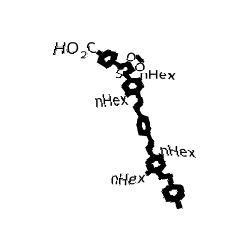 CCCCCCc1cc(C=Cc2ccc(C=Cc3cc(CCCCCC)c(-c4sc(-c5ccc(C(=O)O)cc5)c5c4OCCO5)cc3CCCCCC)cc2)c(CCCCCC)cc1C=Cc1ccc(C)cc1